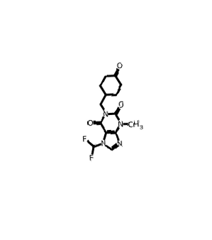 Cn1c(=O)n(CC2CCC(=O)CC2)c(=O)c2c1ncn2C(F)F